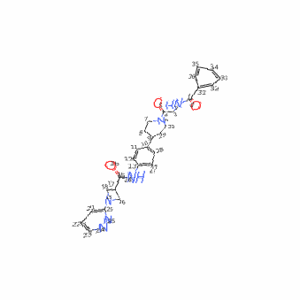 O=C(NCC(=O)N1CCC(c2ccc(NC(=O)C3CN(c4cccnn4)C3)cc2)CC1)c1ccccc1